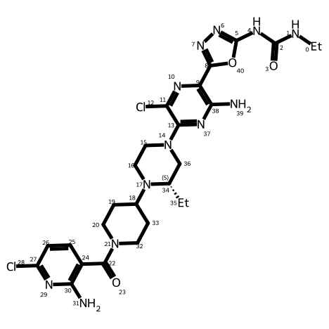 CCNC(=O)Nc1nnc(-c2nc(Cl)c(N3CCN(C4CCN(C(=O)c5ccc(Cl)nc5N)CC4)[C@@H](CC)C3)nc2N)o1